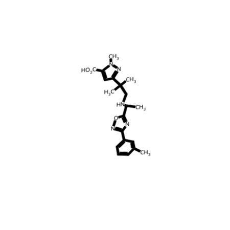 Cc1cccc(-c2noc(C(C)NCC(C)(C)c3cc(C(=O)O)n(C)n3)n2)c1